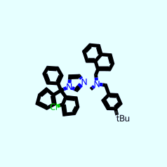 CN(Cc1ccc(C(C)(C)C)cc1)Cc1cccc2ccccc12.Clc1ccccc1C(c1ccccc1)(c1ccccc1)n1ccnc1